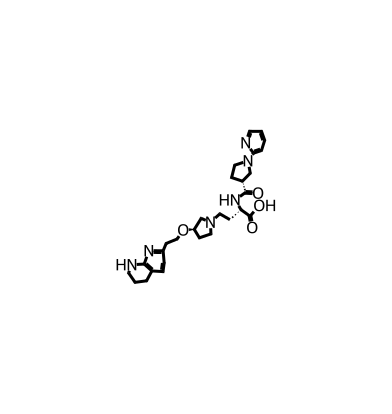 O=C(N[C@@H](CCN1CC[C@@H](OCCc2ccc3c(n2)NCCC3)C1)C(=O)O)[C@@H]1CCN(c2ccccn2)C1